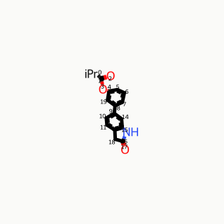 CC(C)C(=O)Oc1cccc(-c2ccc3c(c2)NC(=O)C3)c1